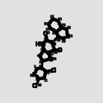 O=c1[nH]c2cc(-c3cnc(Cl)cc3Cl)sc2c(=O)n1-c1cncc2ccccc12